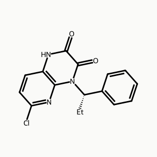 CC[C@@H](c1ccccc1)n1c(=O)c(=O)[nH]c2ccc(Cl)nc21